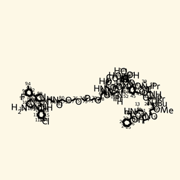 CC[C@H](C)[C@@H]([C@@H](CC(=O)N1CCC[C@H]1C[C@@H](C)C(=O)N[C@H](C)[C@@H](O)c1ccccc1)OC)N(C)C(=O)[C@@H](NC(=O)[C@H](C(C)C)N(C)C(=O)OCc1ccc(NC(=O)[C@H](C)NC(=O)[C@@H](NC(=O)[C@H](CCC(=O)O)NC(=O)CCOCCOCCOCCOCCC(=O)NCCNc2ncc(-c3cc(C)cc(F)c3)c(N3CCC(N)CC3)c2-c2nc3ccc(Cl)cc3[nH]2)C(C)C)c(O[C@@H]2O[C@H](C(=O)O)[C@@H](O)[C@H](O)[C@H]2O)c1)C(C)C